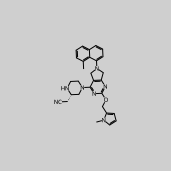 Cc1cccc2cccc(N3Cc4nc(OCc5cccn5C)nc(N5CCN[C@@H](CC#N)C5)c4C3)c12